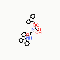 O=C(CCCNC(C(=O)O)C(=O)OCC1c2ccccc2-c2ccccc21)NC(c1ccccc1)(c1ccccc1)c1ccccc1